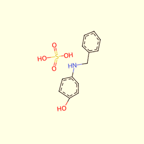 O=S(=O)(O)O.Oc1ccc(NCc2ccccc2)cc1